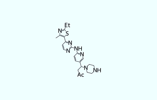 CCc1nc(C)c(-c2ccnc(Nc3ccc(C(CC(C)=O)N4CCNCC4)cn3)n2)s1